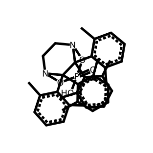 Cc1cccc(C)c1C1(c2c(C)cccc2C)N2CCN(OP(=O)(O)O2)C1(c1c(C)cccc1C)c1c(C)cccc1C